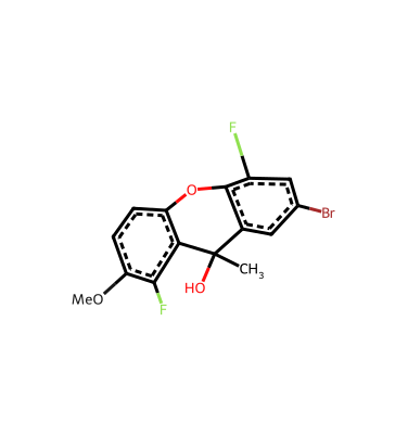 COc1ccc2c(c1F)C(C)(O)c1cc(Br)cc(F)c1O2